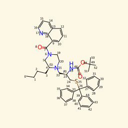 CCCC[C@H]1CN(C(=O)c2cccc3cccnc23)CCN1C[C@H](CSC(c1ccccc1)(c1ccccc1)c1ccccc1)NC(=O)OC(C)(C)C